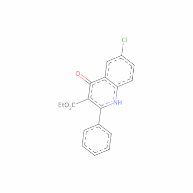 CCOC(=O)c1c(-c2ccccc2)[nH]c2ccc(Cl)cc2c1=O